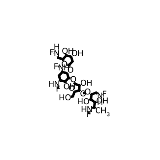 CC(NF)C(O)C(O)C(CNF)OOC1C(CO)OC(OC2C(O)C(NF)CC(NF)C2OC2CC(O)C(O)C(CNF)O2)C1O